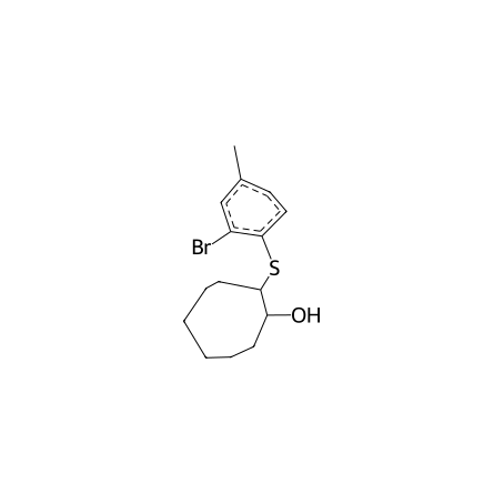 Cc1ccc(SC2CCCCCCC2O)c(Br)c1